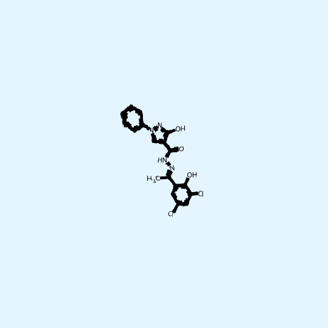 C/C(=N\NC(=O)c1cn(-c2ccccc2)nc1O)c1cc(Cl)cc(Cl)c1O